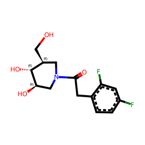 O=C(Cc1ccc(F)cc1F)N1C[C@H](CO)[C@@H](O)[C@H](O)C1